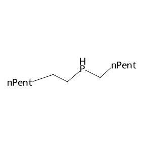 CCCCCCCPCCCCCC